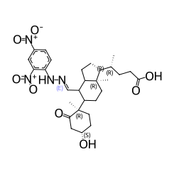 C[C@H](CCC(=O)O)[C@H]1CCC2C(/C=N/Nc3ccc([N+](=O)[O-])cc3[N+](=O)[O-])C([C@@]3(C)CC[C@H](O)CC3=O)CC[C@@]21C